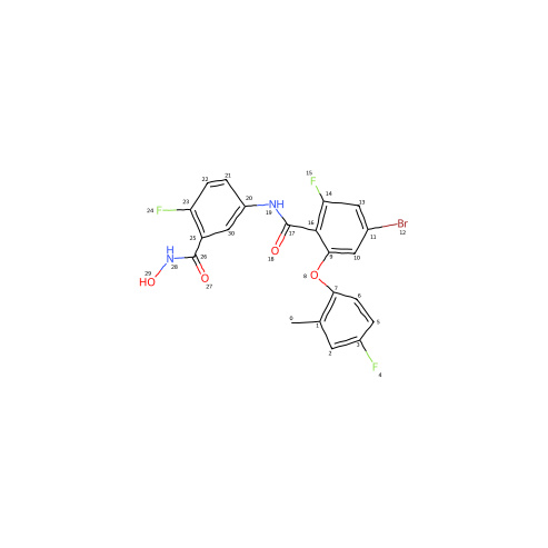 Cc1cc(F)ccc1Oc1cc(Br)cc(F)c1C(=O)Nc1ccc(F)c(C(=O)NO)c1